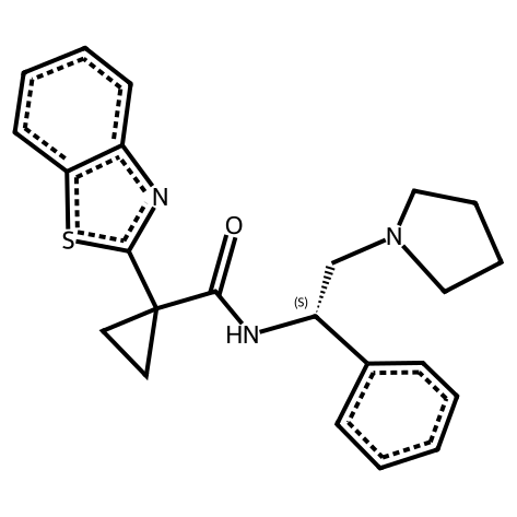 O=C(N[C@H](CN1CCCC1)c1ccccc1)C1(c2nc3ccccc3s2)CC1